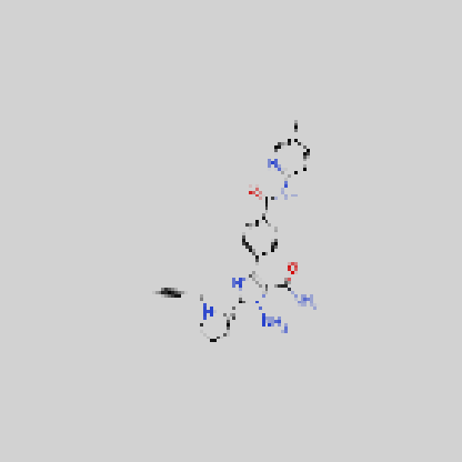 CC#CCN1CCC[C@H]1c1nc(-c2ccc(C(=O)Nc3ccc(C)cn3)cc2)c(C(N)=O)n1N